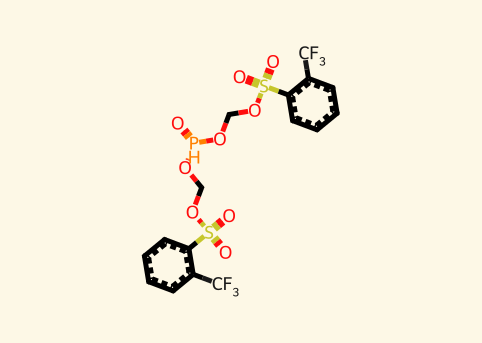 O=[PH](OCOS(=O)(=O)c1ccccc1C(F)(F)F)OCOS(=O)(=O)c1ccccc1C(F)(F)F